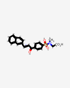 CN(CC(=O)O)S(=O)(=O)c1ccc(C(=O)/C=C/c2ccc3ccccc3c2)cc1